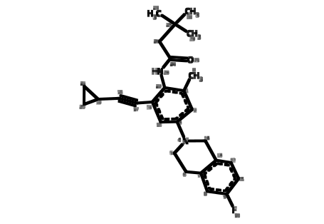 Cc1cc(N2CCc3cc(F)ccc3C2)cc(C#CC2CC2)c1NC(=O)CC(C)(C)C